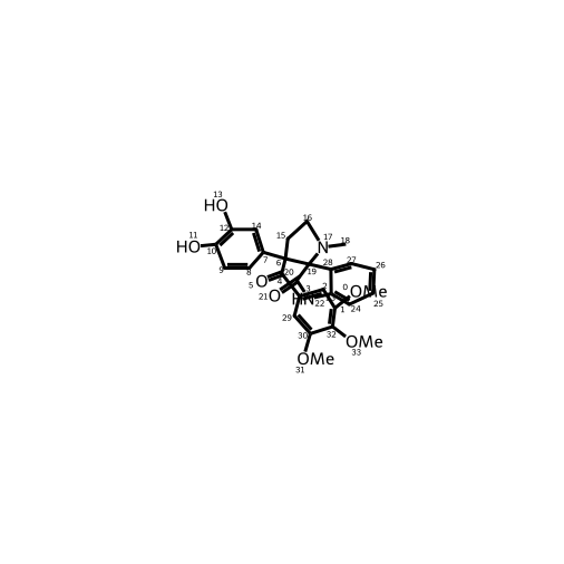 COc1cc(C(=O)C2(c3ccc(O)c(O)c3)CCN(C)C23C(=O)Nc2ccccc23)cc(OC)c1OC